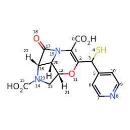 O=C(O)C1=C(C(S)c2ccncc2)O[C@@H]2CN(C(=O)O)[C@@H]3C(=O)N1[C@@H]32